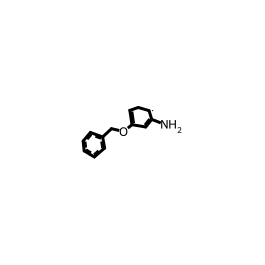 NC1=CC(OCc2ccccc2)=CC[CH]1